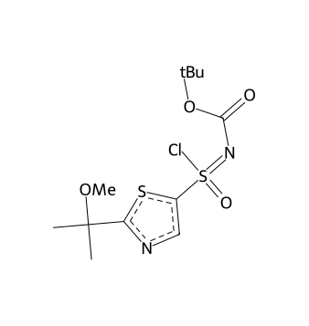 COC(C)(C)c1ncc(S(=O)(Cl)=NC(=O)OC(C)(C)C)s1